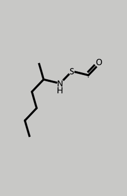 CCCCC(C)NS[C]=O